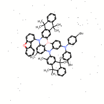 Cc1cc2c3c(c1)N(c1cccc4oc5ccccc5c14)c1cc4c(cc1B3c1ccc(N(c3ccc(C(C)(C)C)cc3)c3ccc(C(C)(C)C)cc3)cc1N2c1cc2c(cc1C)C(C)(C)c1ccccc1C2(C)C)C(C)(C)c1ccccc1C4(C)C